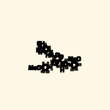 COc1ccc(C[C@@H]2C[C@@H](C(=O)NCc3ccc4c(c3)nnn4C)N(C(=O)[C@H]3CC(c4ccccc4OC)CN3)C2)cc1